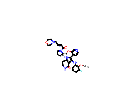 COc1c(F)cccc1Nc1c(-c2ccncc2OC[C@H]2CCCN2C(=O)/C=C/CN2CCOCC2)[nH]c2c1C(=O)NCC2